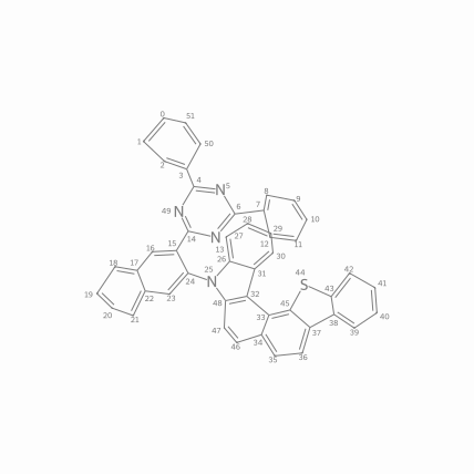 c1ccc(-c2nc(-c3ccccc3)nc(-c3cc4ccccc4cc3-n3c4ccccc4c4c5c(ccc6c7ccccc7sc65)ccc43)n2)cc1